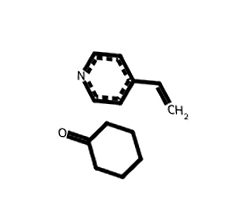 C=Cc1ccncc1.O=C1CCCCC1